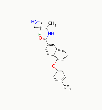 CC(NC(=O)c1ccc2c(Oc3ccc(C(F)(F)F)cc3)cccc2c1)C1(F)CNC1